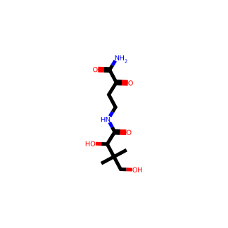 CC(C)(CO)C(O)C(=O)NCCC(=O)C(N)=O